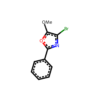 COc1oc(-c2ccccc2)nc1Br